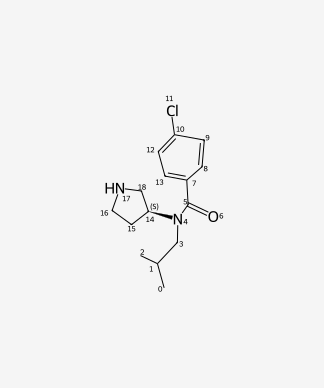 CC(C)CN(C(=O)c1ccc(Cl)cc1)[C@H]1CCNC1